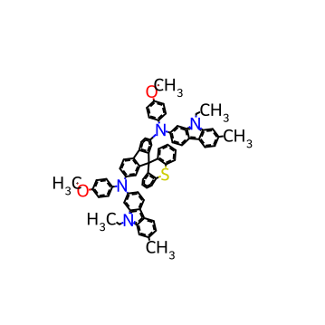 CCn1c2cc(C)ccc2c2ccc(N(c3ccc(OC)cc3)c3ccc4c(c3)C3(c5ccccc5Sc5ccccc53)c3cc(N(c5ccc(OC)cc5)c5ccc6c7ccc(C)cc7n(CC)c6c5)ccc3-4)cc21